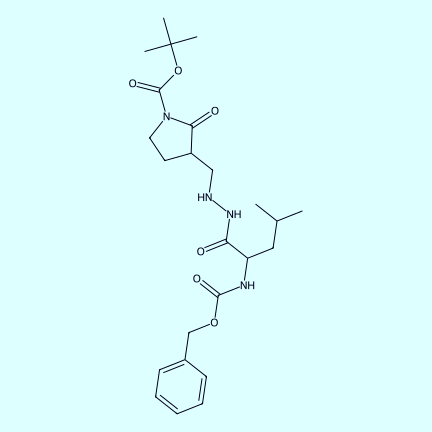 CC(C)CC(NC(=O)OCc1ccccc1)C(=O)NNCC1CCN(C(=O)OC(C)(C)C)C1=O